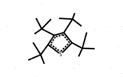 CC(C)(C)c1sc(C(C)(C)C)c(C(C)(C)C)c1C(C)(C)C